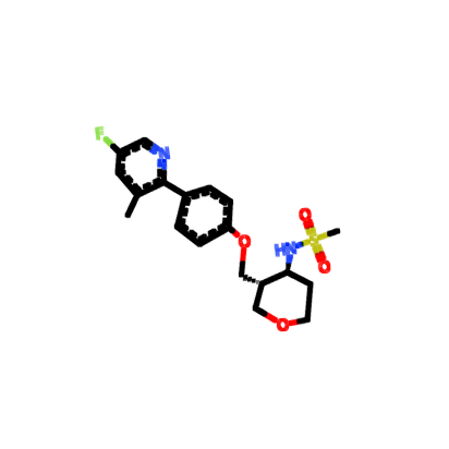 Cc1cc(F)cnc1-c1ccc(OC[C@H]2COCC[C@@H]2NS(C)(=O)=O)cc1